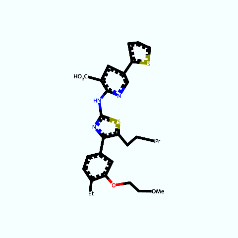 CCc1ccc(-c2nc(Nc3ncc(-c4cccs4)cc3C(=O)O)sc2CCC(C)C)cc1OCCOC